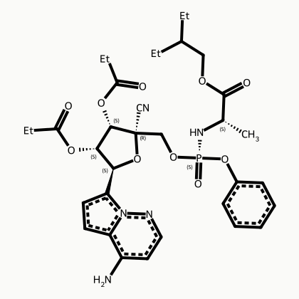 CCC(=O)O[C@H]1[C@H](c2ccc3c(N)ccnn23)O[C@](C#N)(CO[P@@](=O)(N[C@@H](C)C(=O)OCC(CC)CC)Oc2ccccc2)[C@H]1OC(=O)CC